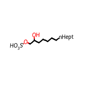 CCCCCCCCCCCCC(O)COS(=O)(=O)O